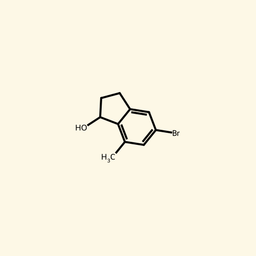 Cc1cc(Br)cc2c1C(O)CC2